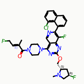 C/C(=C\CF)C(=O)N1CCN(c2nc(OC[C@@H]3C[C@@H](F)CN3C)nc3c(F)c(-c4cccc5cccc(Cl)c45)ncc23)CC1